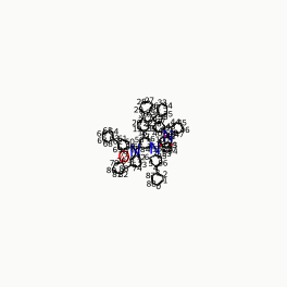 c1ccc(-c2ccc(N(c3ccccc3)c3cc(-c4ccc5c(c4)C4(c6ccccc6-5)c5ccccc5-c5c4ccc4c5c5ccccc5n4-c4ccccc4)cc(N(c4ccc(-c5ccccc5)cc4)c4cccc5c4oc4ccccc45)c3)cc2)cc1